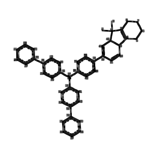 CC1(C)C2=C(CCCC2)C2C=CC(c3ccc(N(c4ccc(-c5ccccc5)cc4)c4ccc(-c5ccccc5)cc4)cc3)=CC21